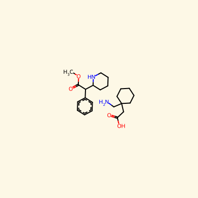 COC(=O)C(c1ccccc1)C1CCCCN1.NCC1(CC(=O)O)CCCCC1